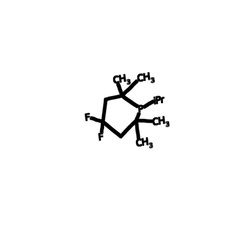 CC(C)P1C(C)(C)CC(F)(F)CC1(C)C